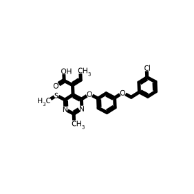 CC=C(C(=O)O)c1c(Oc2cccc(OCc3cccc(Cl)c3)c2)nc(C)nc1SC